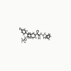 CC(C)(C)OCc1nc2ccc(C(=O)NCCCc3ncc[nH]3)cc2nc1-c1ccc(F)cc1